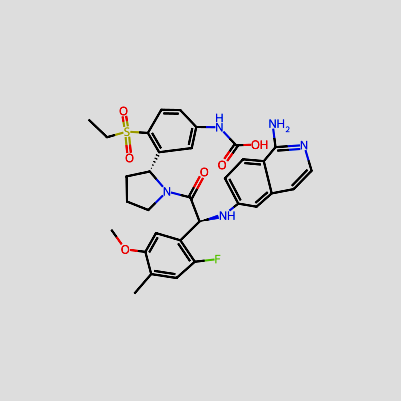 CCS(=O)(=O)c1ccc(NC(=O)O)cc1[C@H]1CCCN1C(=O)[C@@H](Nc1ccc2c(N)nccc2c1)c1cc(OC)c(C)cc1F